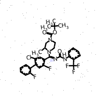 CC1CN(C(=O)OC(C)(C)C)CCN1/C(=N\C(=O)Nc1ccccc1C(F)(F)F)c1cc(Cl)c(-c2ccccc2F)cc1F